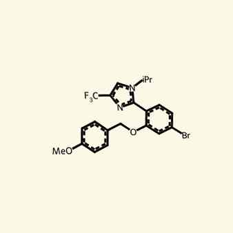 COc1ccc(COc2cc(Br)ccc2-c2nc(C(F)(F)F)cn2C(C)C)cc1